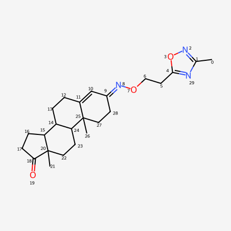 Cc1noc(CCON=C2C=C3CCC4C5CCC(=O)C5(C)CCC4C3(C)CC2)n1